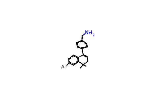 CC(=O)c1ccc2c(c1)C(C)(C)CC=C2c1ccc(CN)cc1